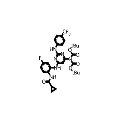 CC(C)(C)OC(=O)N(C(=O)OC(C)(C)C)c1cc(Nc2cc(F)ccc2NC(=O)C2CC2)nc(Nc2ccc(C(F)(F)F)cc2)n1